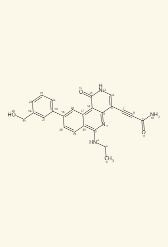 CCNc1nc2c(C#CC(N)=O)c[nH]c(=O)c2c2cc(-c3cccc(CO)c3)ccc12